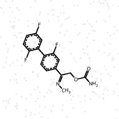 C/N=C(\COC(N)=O)c1ccc(-c2cc(F)ccc2F)c(F)c1